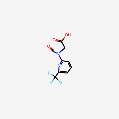 O=CN(CC(=O)O)c1cccc(C(F)(F)F)n1